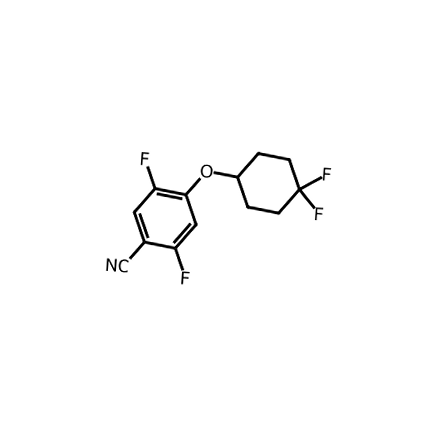 N#Cc1cc(F)c(OC2CCC(F)(F)CC2)cc1F